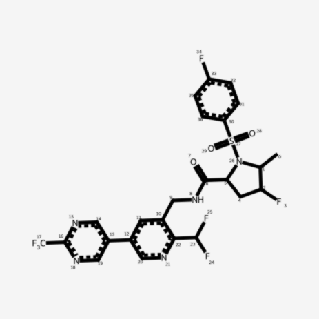 CC1C(F)CC(C(=O)NCc2cc(-c3cnc(C(F)(F)F)nc3)cnc2C(F)F)N1S(=O)(=O)c1ccc(F)cc1